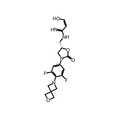 N=C(/C=C\O)NC[C@H]1CN(c2cc(F)c(N3CC4(COC4)C3)c(F)c2)C(=O)O1